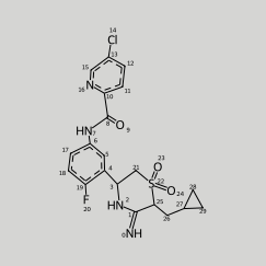 N=C1NC(c2cc(NC(=O)c3ccc(Cl)cn3)ccc2F)CS(=O)(=O)C1CC1CC1